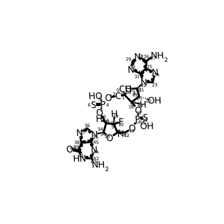 C[C@@]12COP(O)(=S)O[C@@H]3[C@H](F)[C@@H](COP(O)(=S)O[C@H]1[C@@H](O)[C@H](n1cnc4c(N)ncnc41)O2)O[C@H]3n1cnc2c(=O)[nH]c(N)nc21